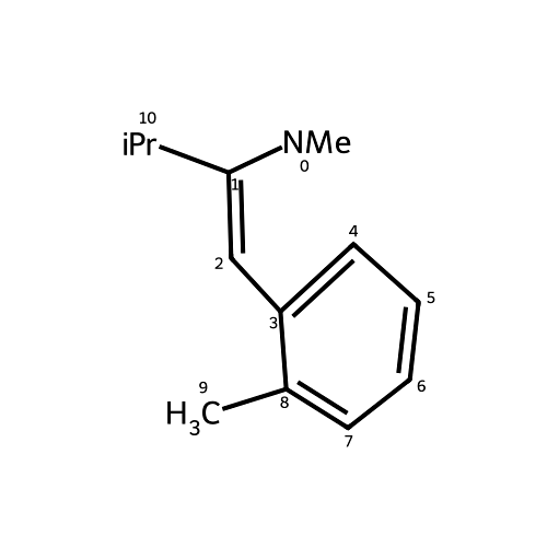 CN/C(=C\c1ccccc1C)C(C)C